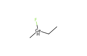 C[CH2][GeH]([CH3])[F]